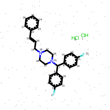 Cl.Cl.Fc1ccc(C(c2ccc(F)cc2)N2CCN(CC=Cc3ccccc3)CC2)cc1